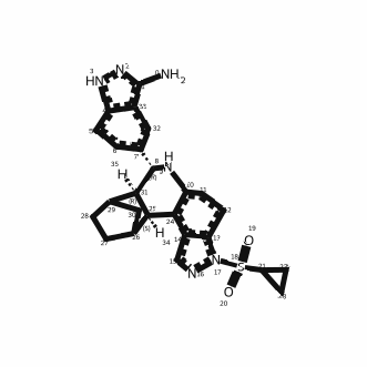 Nc1n[nH]c2ccc([C@@H]3Nc4ccc5c(cnn5S(=O)(=O)C5CC5)c4[C@H]4C5CCC(C5)[C@@H]34)cc12